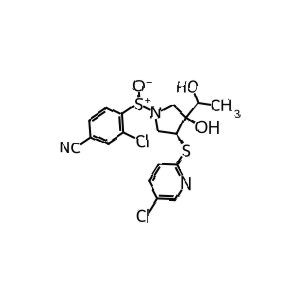 CC(O)C1(O)CN([S+]([O-])c2ccc(C#N)cc2Cl)C[C@@H]1Sc1ccc(Cl)cn1